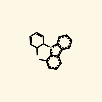 Cc1cccc2c3ccccc3n(C3C=CC=CC3C)c12